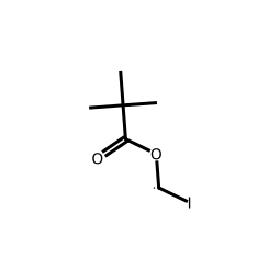 CC(C)(C)C(=O)O[CH]I